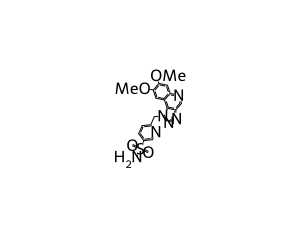 COc1cc2ncc3nnn(Cc4ccc(S(N)(=O)=O)cn4)c3c2cc1OC